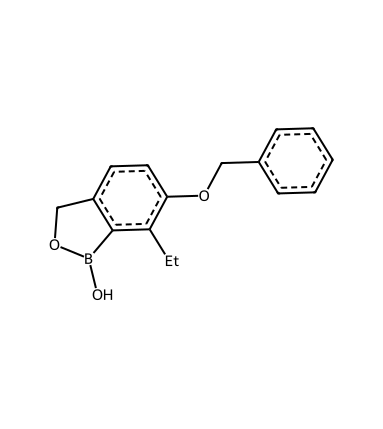 CCc1c(OCc2ccccc2)ccc2c1B(O)OC2